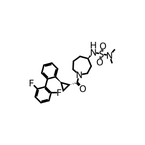 CN(C)S(=O)(=O)N[C@@H]1CCCN(C(=O)[C@@H]2C[C@H]2c2ccccc2-c2c(F)cccc2F)CC1